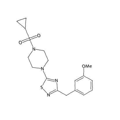 COc1cccc(Cc2nsc(N3CCN(S(=O)(=O)C4CC4)CC3)n2)c1